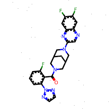 O=C(c1c(F)cccc1-n1nccn1)N1CC2CC(C1)CN(c1cnc3cc(F)c(F)cc3n1)C2